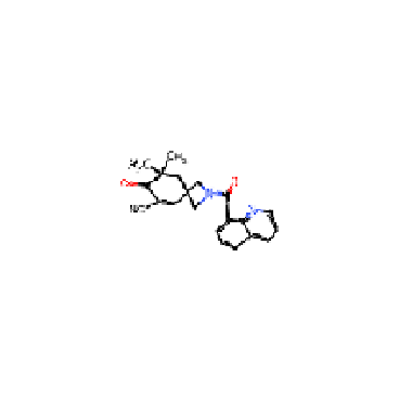 CC1(C)CC2(C=C(C#N)C1=O)CN(C(=O)c1cccc3cccnc13)C2